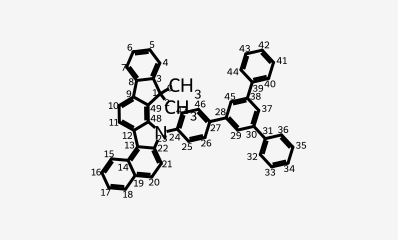 CC1(C)c2ccccc2-c2ccc3c4c5ccccc5ccc4n(-c4ccc(-c5cc(-c6ccccc6)cc(-c6ccccc6)c5)cc4)c3c21